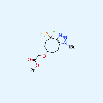 CC(C)OC(=O)COC1CCc2c(nnn2C(C)(C)C)C(F)(P)CC1